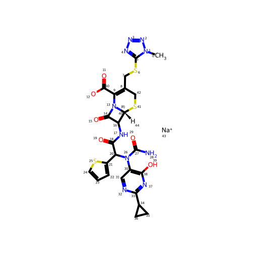 Cn1nnnc1SCC1=C(C(=O)[O-])N2C(=O)C(NC(=O)C(c3cccs3)N(C(N)=O)c3cnc(C4CC4)nc3O)[C@H]2SC1.[Na+]